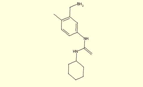 BCc1cc(NC(=C)NC2CCCCC2)ccc1C